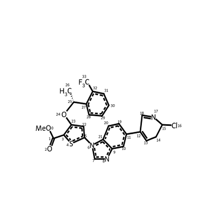 COC(=O)c1sc(-n2cnc3cc(C4=CCC(Cl)N=C4)ccc32)cc1O[C@H](C)c1ccccc1C(F)(F)F